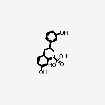 CC(CC1C=CC(O)=CC1=NP(=O)(O)O)c1cccc(O)c1